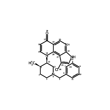 C[C@@H]1CCN(Cc2ccccc2)C[C@@H]1n1ccc(=O)c2cnc3[nH]cc(Cl)c3c21